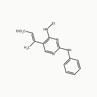 CCNc1nc(Nc2ccccc2)ncc1C(C)=CC(=O)OCC